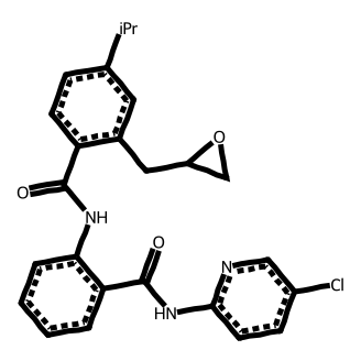 CC(C)c1ccc(C(=O)Nc2ccccc2C(=O)Nc2ccc(Cl)cn2)c(CC2CO2)c1